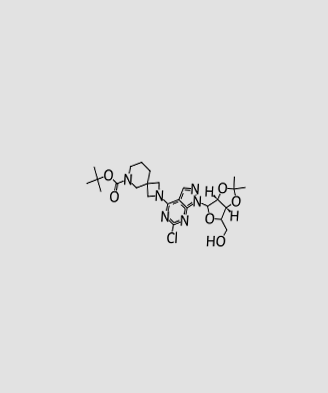 CC(C)(C)OC(=O)N1CCCC2(C1)CN(c1nc(Cl)nc3c1cnn3C1OC(CO)[C@H]3OC(C)(C)O[C@@H]13)C2